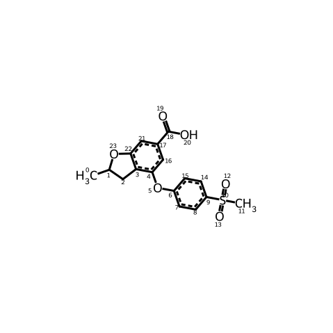 CC1Cc2c(Oc3ccc(S(C)(=O)=O)cc3)cc(C(=O)O)cc2O1